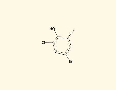 Cc1cc(Br)cc(Cl)c1O